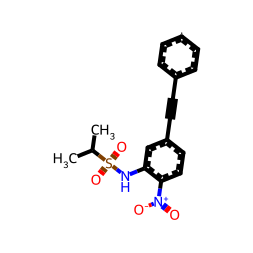 CC(C)S(=O)(=O)Nc1cc(C#Cc2cc[c]cc2)ccc1[N+](=O)[O-]